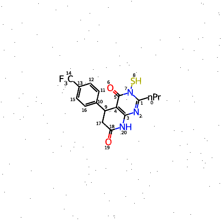 CCCc1nc2c(c(=O)n1S)C(c1ccc(C(F)(F)F)cc1)CC(=O)N2